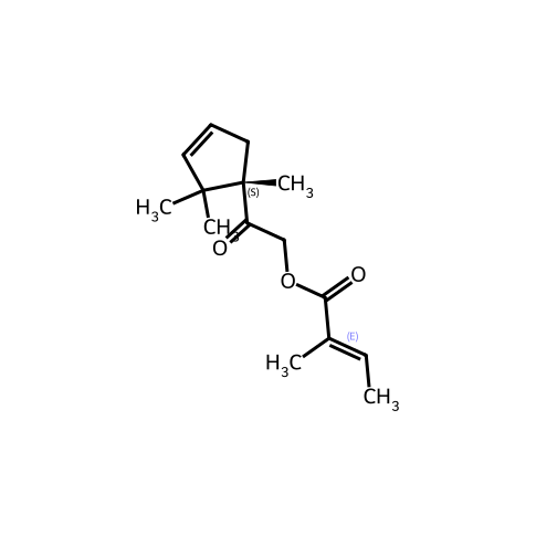 C/C=C(\C)C(=O)OCC(=O)[C@@]1(C)CC=CC1(C)C